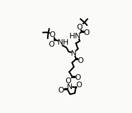 CC(C)(C)OC(=O)NCCCN(CCCNC(=O)OC(C)(C)C)C(=O)CCCC(=O)ON1C(=O)CCC1=O